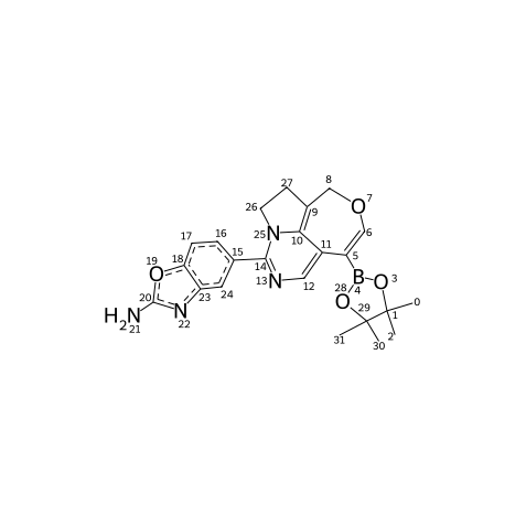 CC1(C)OB(C2=COCC3=C4C2=CN=C(c2ccc5oc(N)nc5c2)N4CC3)OC1(C)C